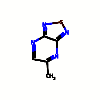 Cc1cnc2nsnc2n1